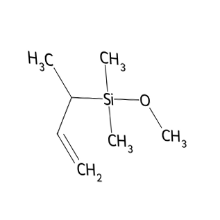 C=CC(C)[Si](C)(C)OC